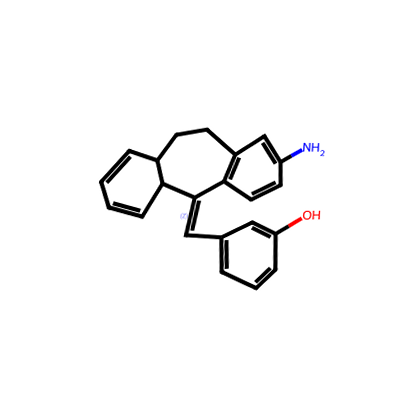 Nc1ccc2c(c1)CCC1C=CC=CC1/C2=C/c1cccc(O)c1